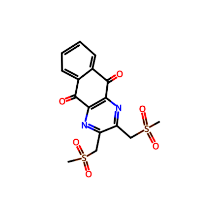 CS(=O)(=O)Cc1nc2c(nc1CS(C)(=O)=O)C(=O)c1ccccc1C2=O